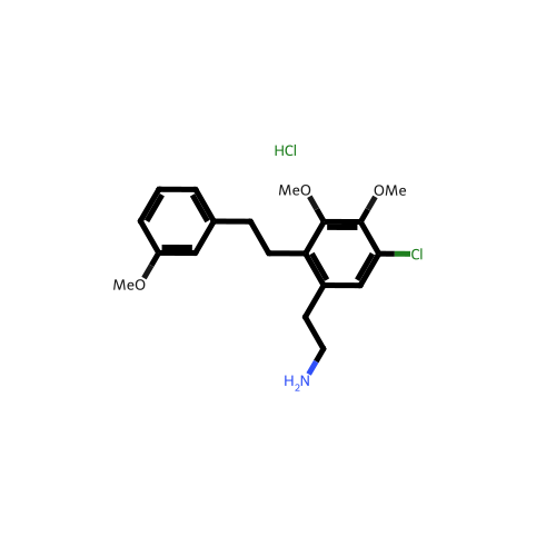 COc1cccc(CCc2c(CCN)cc(Cl)c(OC)c2OC)c1.Cl